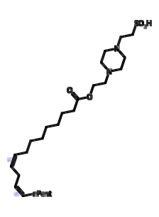 CCCCC/C=C\C/C=C\CCCCCCCC(=O)OCCN1CCN(CCS(=O)(=O)O)CC1